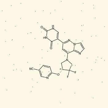 N#Cc1ccc(O[C@@H]2CN(c3cc(-c4c[nH]c(=O)[nH]c4=O)nn4ccnc34)CC2(F)F)nc1